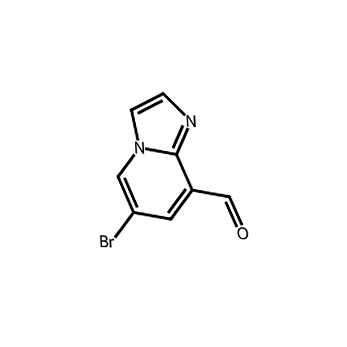 O=Cc1cc(Br)cn2ccnc12